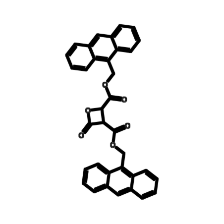 O=C(OCc1c2ccccc2cc2ccccc12)C1OC(=O)C1C(=O)OCc1c2ccccc2cc2ccccc12